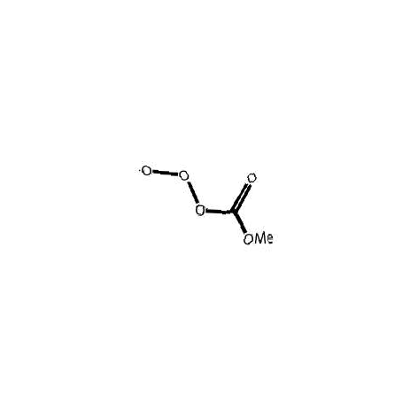 COC(=O)OO[O]